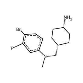 CN(C[C@H]1CC[C@@H](N)CC1)c1ccc(Br)c(F)c1